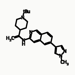 C=C(Nc1cc2cc(-c3cnn(C)c3)ccc2cn1)C1CCN(C(C)(C)C)CC1